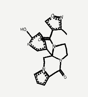 Cc1nocc1C(=O)N1CCN2C(=O)c3cccn3CC12c1ccc(O)nc1